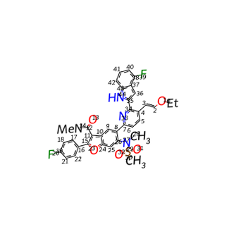 CCOC=Cc1ccc(-c2cc3c(C(=O)NC)c(-c4ccc(F)cc4)oc3cc2N(C)S(C)(=O)=O)nc1-c1cc2c(F)cccc2[nH]1